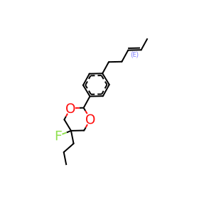 C/C=C/CCc1ccc(C2OCC(F)(CCC)CO2)cc1